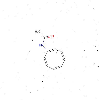 CC(=O)NC1=C/C=C\C=C/C=C\1